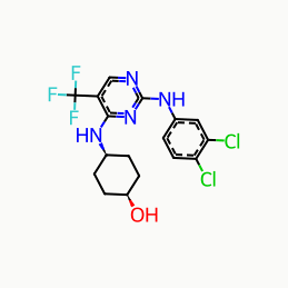 O[C@H]1CC[C@@H](Nc2nc(Nc3ccc(Cl)c(Cl)c3)ncc2C(F)(F)F)CC1